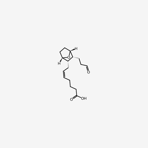 O=CCC[C@@H]1[C@H](C/C=C\CCCC(=O)O)[C@@H]2CC[C@H]1O2